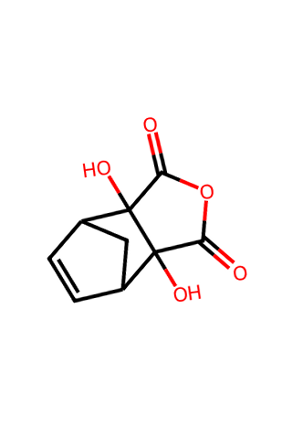 O=C1OC(=O)C2(O)C3C=CC(C3)C12O